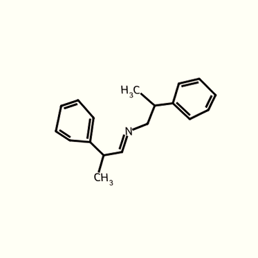 CC(/C=N/CC(C)c1ccccc1)c1ccccc1